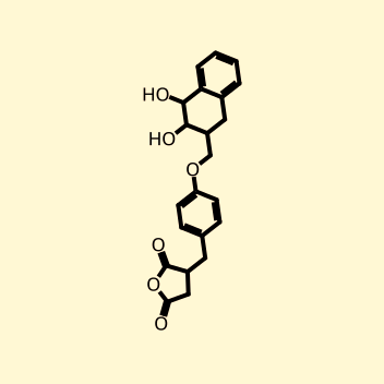 O=C1CC(Cc2ccc(OCC3Cc4ccccc4C(O)C3O)cc2)C(=O)O1